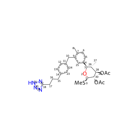 CS[C@H]1O[C@@H](c2ccc(C)c(Cc3ccc(CCCc4nn[nH]n4)cc3)c2)[C@H](C)[C@@H](OC(C)=O)[C@@H]1OC(C)=O